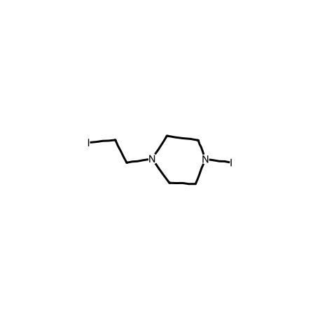 ICCN1CCN(I)CC1